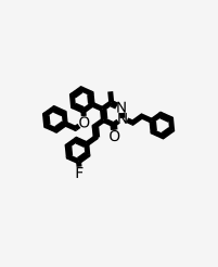 Cc1nn(CCc2ccccc2)c(=O)c(C=Cc2cccc(F)c2)c1-c1ccccc1OCc1ccccc1